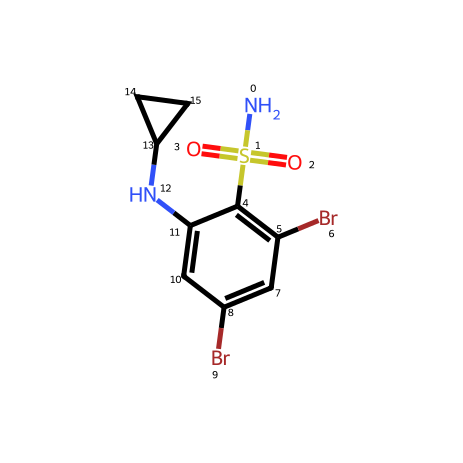 NS(=O)(=O)c1c(Br)cc(Br)cc1NC1CC1